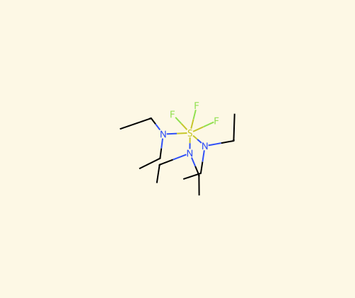 CCN(CC)S(F)(F)(F)(N(CC)CC)N(CC)CC